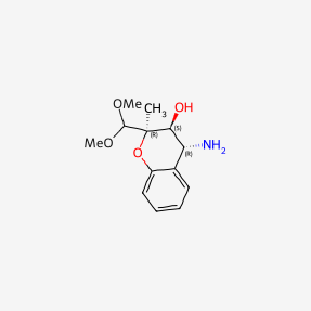 COC(OC)[C@]1(C)Oc2ccccc2[C@@H](N)[C@@H]1O